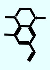 C=Cc1cc(C)c2c(c1)N(C)CCN2C